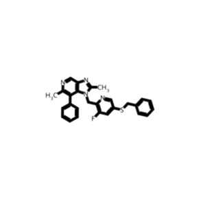 Cc1ncc2nc(C)n(Cc3ncc(SCc4ccccc4)cc3F)c2c1-c1ccccc1